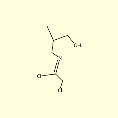 CC(CO)CN=C(Cl)CCl